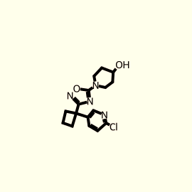 OC1CCN(c2nc(C3(c4ccc(Cl)nc4)CCC3)no2)CC1